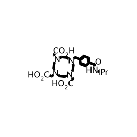 CC(C)NC(=O)c1ccc(CN2CCN(CC(=O)O)CCN(CC(=O)O)CCN(CC(=O)O)CC2)cc1